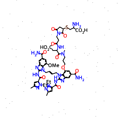 CCn1nc(C)cc1C(=O)Nc1nc2cc(C(N)=O)cc(OC)c2n1C/C=C/Cn1c(NC(=O)c2cc(C)nn2CC)nc2cc(C(N)=O)cc(OCCCN(C)C(=O)C(CC(=O)O)NC(=O)CCN3C(=O)CC(SCC(N)C(=O)O)C3=O)c21